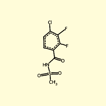 CS(=O)(=O)NC(=O)c1ccc(Cl)c(F)c1F